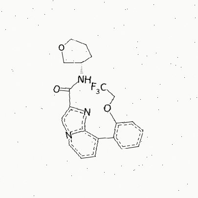 O=C(N[C@H]1CCCOC1)c1cn2cccc(-c3ccccc3OCC(F)(F)F)c2n1